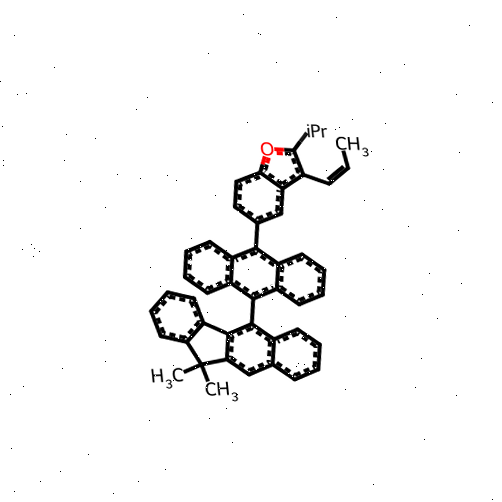 C/C=C\c1c(C(C)C)oc2ccc(-c3c4ccccc4c(-c4c5c(cc6ccccc46)C(C)(C)c4ccccc4-5)c4ccccc34)cc12